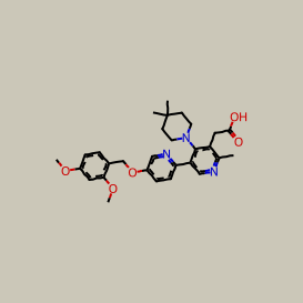 COc1ccc(COc2ccc(-c3cnc(C)c(CC(=O)O)c3N3CCC(C)(C)CC3)nc2)c(OC)c1